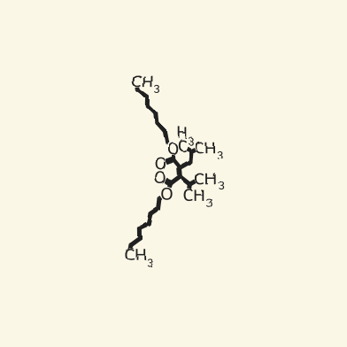 CCCCCCCCOC(=O)/C(CC(C)C)=C(\C(=O)OCCCCCCCC)C(C)C